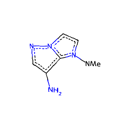 CNn1ccn2ncc(N)c12